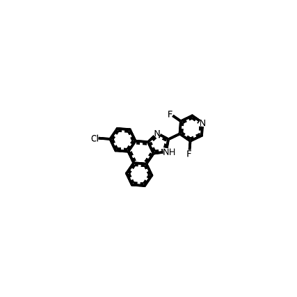 Fc1cncc(F)c1-c1nc2c3ccc(Cl)cc3c3ccccc3c2[nH]1